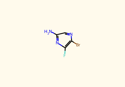 Nc1cnc(Br)c(F)n1